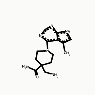 Cc1c[nH]c2ncnc(N3CCC(CN)(C(N)=O)CC3)c12